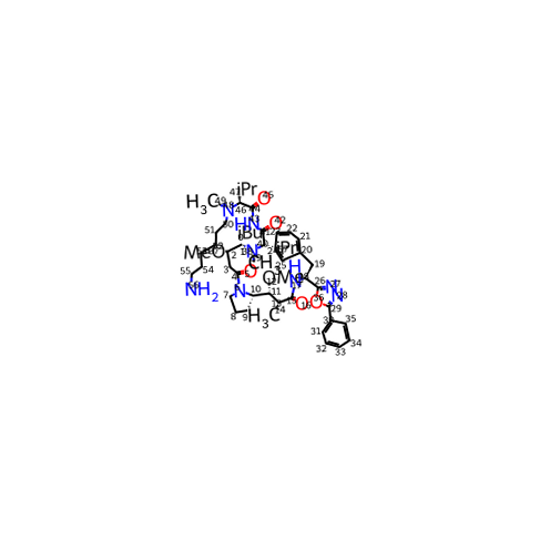 CC[C@H](C)[C@@H]([C@@H](CC(=O)N1CCC[C@H]1[C@H](OC)[C@@H](C)C(=O)N[C@@H](Cc1ccccc1)c1nnc(-c2ccccc2)o1)OC)N(C)[C@H](C(=O)NC(=O)[C@H](C(C)C)N(C)CCCCCCN)C(C)C